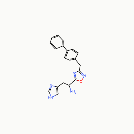 NC(Cc1c[nH]cn1)c1nc(Cc2ccc(-c3ccccc3)cc2)no1